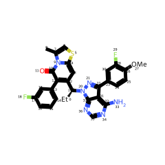 CC[C@@H](c1cc2scc(C)n2c(=O)c1-c1cccc(F)c1)n1nc(-c2ccc(OC)c(F)c2)c2c(N)ncnc21